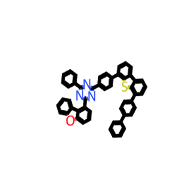 c1ccc(-c2ccc(-c3cccc4c3sc3c(-c5ccc(-c6nc(-c7ccccc7)nc(-c7cccc8oc9ccccc9c78)n6)cc5)cccc34)cc2)cc1